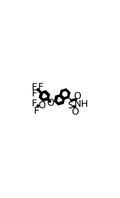 O=C1NC(=O)C([C@@H]2CCCc3cc(Oc4ccc(C(F)(F)F)cc4OC(F)F)ccc32)S1